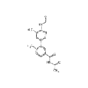 CC(=O)NC(=O)c1ccc(C)c(-c2cnc(NC=O)c(C)c2)c1